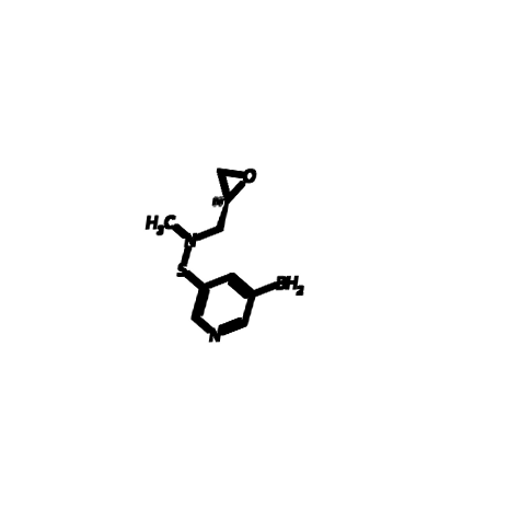 Bc1cncc(SN(C)C[C@H]2CO2)c1